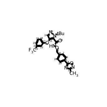 Cc1noc(-c2ccc(CONC(=O)c3c(Oc4cccc(C(F)(F)F)c4)cnn3C(C)(C)C)cc2)n1